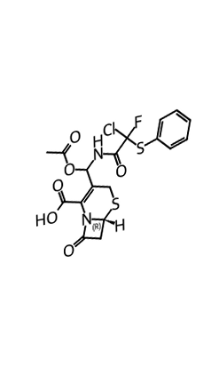 CC(=O)OC(NC(=O)C(F)(Cl)Sc1ccccc1)C1=C(C(=O)O)N2C(=O)C[C@H]2SC1